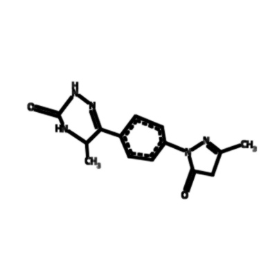 CC1=NN(c2ccc(C3=NNC(=O)NC3C)cc2)C(=O)C1